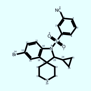 N#Cc1cccc(S(=O)(=O)N2c3ccc(Br)cc3C3(CCSCC3)C2C2CC2)c1